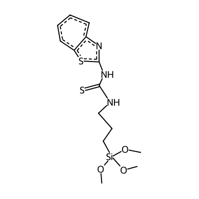 CO[Si](CCCNC(=S)Nc1nc2ccccc2s1)(OC)OC